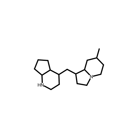 CC1CCN2CCC(CC3CCNC4CCCC34)C2C1